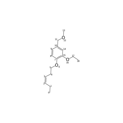 CC/C=C\CCOc1ccc(COC)cc1OCC